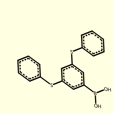 OB(O)c1cc(Sc2ccccc2)cc(Sc2ccccc2)c1